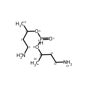 CC(CCN)O[PH](=O)OC(C)CCN